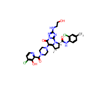 C[C@H]1C[C@@H](C(=O)Nc2ccc(C(F)(F)F)cc2Cl)n2c1c(N1CCN(C(=O)c3nccc(Cl)c3O)CC1)c(=O)n1nc(NCCO)nc21